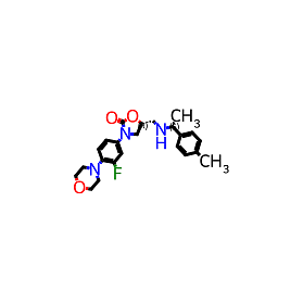 Cc1ccc([C@H](C)NC[C@@H]2CN(c3ccc(N4CCOCC4)c(F)c3)C(=O)O2)cc1